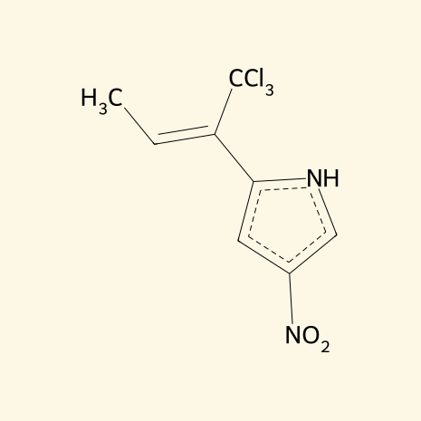 CC=C(c1cc([N+](=O)[O-])c[nH]1)C(Cl)(Cl)Cl